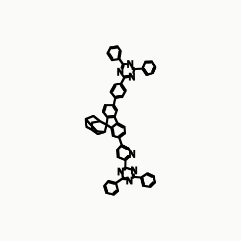 c1ccc(-c2nc(-c3ccccc3)nc(-c3ccc(-c4ccc5c(c4)-c4ccc(-c6ccc(-c7nc(-c8ccccc8)nc(-c8ccccc8)n7)nc6)cc4C54C5CC6CC(C5)CC4C6)cc3)n2)cc1